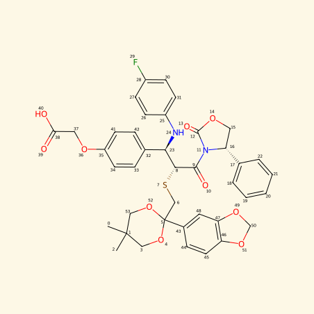 CC1(C)COC(CS[C@@H](C(=O)N2C(=O)OC[C@@H]2c2ccccc2)[C@H](Nc2ccc(F)cc2)c2ccc(OCC(=O)O)cc2)(c2ccc3c(c2)OCO3)OC1